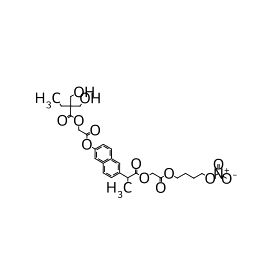 CCC(CO)(CO)C(=O)OCC(=O)Oc1ccc2cc(C(C)C(=O)OCC(=O)OCCCCO[N+](=O)[O-])ccc2c1